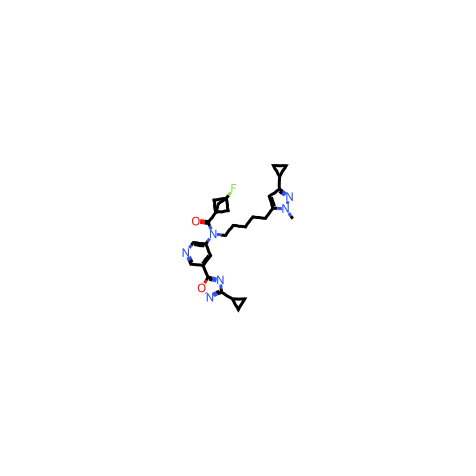 Cn1nc(C2CC2)cc1CCCCCN(C(=O)C12CC(F)(C1)C2)c1cncc(-c2nc(C3CC3)no2)c1